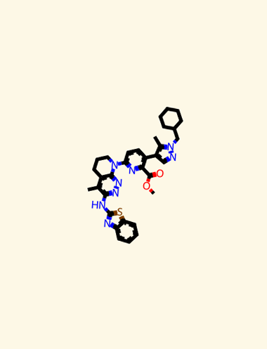 COC(=O)c1nc(N2CCCc3c2nnc(Nc2nc4ccccc4s2)c3C)ccc1-c1cnn(CC2CCCCC2)c1C